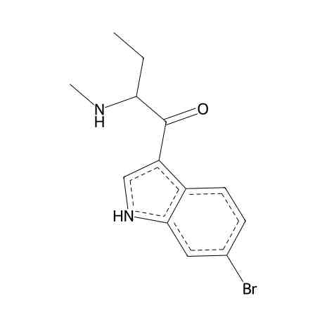 CCC(NC)C(=O)c1c[nH]c2cc(Br)ccc12